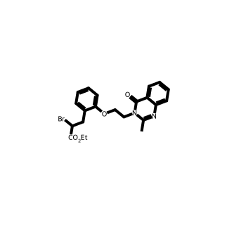 CCOC(=O)C(Br)Cc1ccccc1OCCn1c(C)nc2ccccc2c1=O